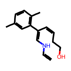 C=CN/C=C(\C=C/CCO)c1cc(C)ccc1C